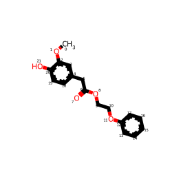 COc1cc(CC(=O)OCCOc2ccccc2)ccc1O